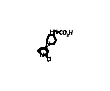 O=C(O)NC1CCN(c2ccnc(Cl)c2)CC1